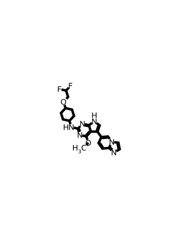 COc1nc(NC2CCC(OCC(F)F)CC2)nc2[nH]cc(-c3ccc4nccn4c3)c12